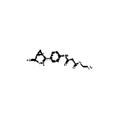 CCOC(=O)CC(=O)Nc1ccc(C2=NNC(=O)C3CC23)cc1